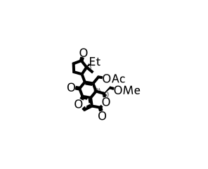 CC[C@]1(C)C(=O)CCC1C1=C(COC(C)=O)[C@]2(C)c3c(coc3C1=O)C(=O)O[C@@H]2COC